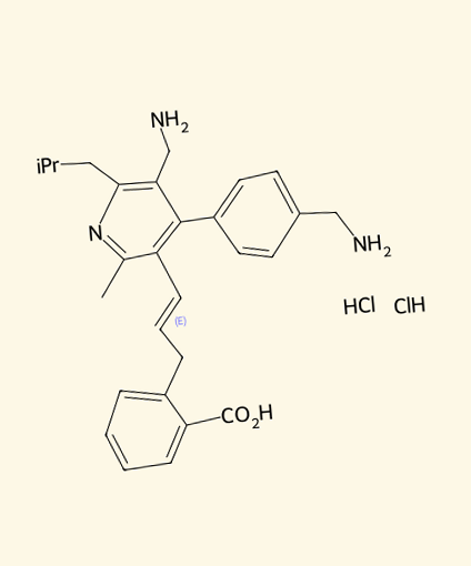 Cc1nc(CC(C)C)c(CN)c(-c2ccc(CN)cc2)c1/C=C/Cc1ccccc1C(=O)O.Cl.Cl